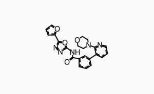 O=C(Nc1nnc(-c2ccco2)o1)c1cccc(-c2cccnc2N2CCOCC2)c1